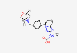 C1CC1.O=C(O)Nc1nc2cccc(-c3ccc(CN4C[C@@H]5C[C@H]4CO5)cc3)n2n1